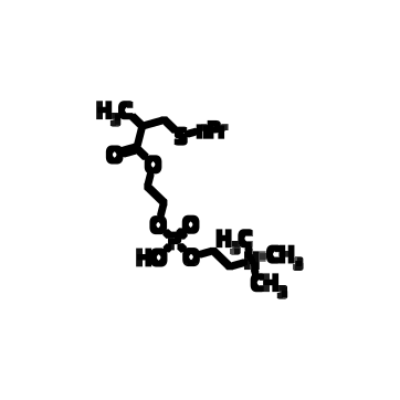 CCCSCC(C)C(=O)OCCOP(=O)(O)OCC[N+](C)(C)C